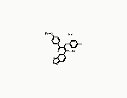 Cc1ccc(CC(C(=O)c2ccc(OC(C)C)cc2)=C(C(=O)[O-])c2ccc3nsnc3c2)cc1.[Na+]